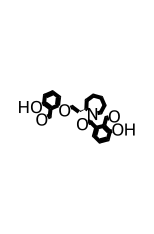 O=Cc1c(O)cccc1OCC[C@@H]1CCCCCN1C(=O)c1cccc(O)c1C=O